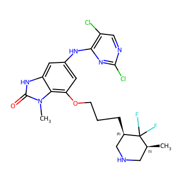 C[C@H]1CNC[C@@H](CCCOc2cc(Nc3nc(Cl)ncc3Cl)cc3[nH]c(=O)n(C)c23)C1(F)F